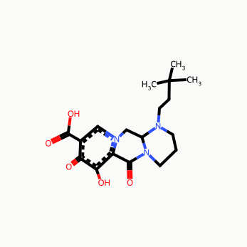 CC(C)(C)CCN1CCCN2C(=O)c3c(O)c(=O)c(C(=O)O)cn3CC12